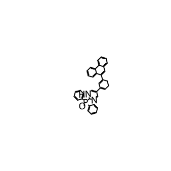 O=P(c1ccccc1)(c1ccccc1)C1N=CC(C2=CCCC(c3cc4ccccc4c4ccccc34)=C2)=CN1